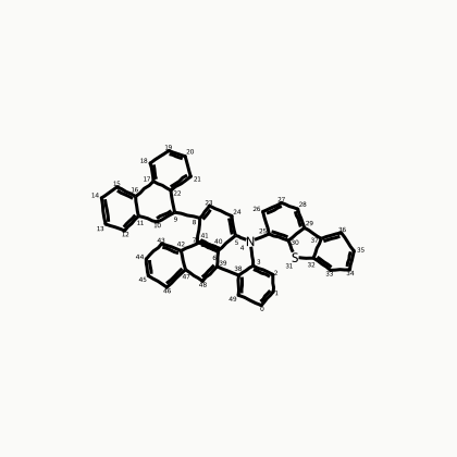 c1ccc(N(c2ccc(-c3cc4ccccc4c4ccccc34)cc2)c2cccc3c2sc2ccccc23)c(-c2ccc3ccccc3c2)c1